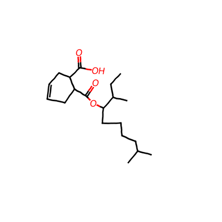 CCC(C)C(CCCCC(C)C)OC(=O)C1CC=CCC1C(=O)O